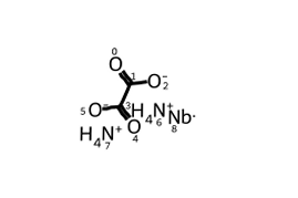 O=C([O-])C(=O)[O-].[NH4+].[NH4+].[Nb]